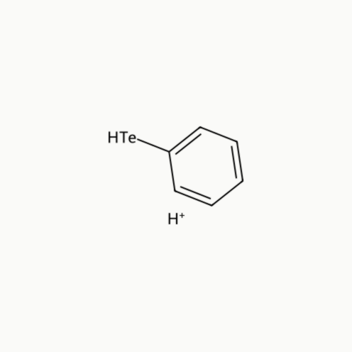 [H+].[TeH]c1ccccc1